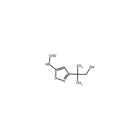 CC(C)(CO)c1cc(NC=O)on1